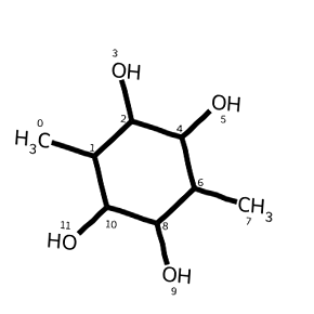 CC1C(O)C(O)C(C)C(O)C1O